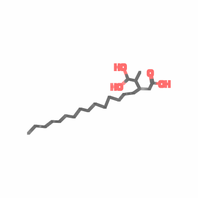 CCCCCCCCCCCCCCCC(CC(=O)O)C(C)C(O)O